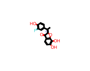 C/C(=C1\Oc2c(ccc(O)c2O)C1=O)c1ccc(O)c(F)c1